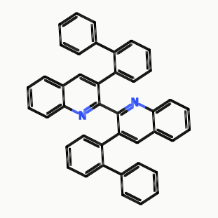 c1ccc(-c2ccccc2-c2cc3ccccc3nc2-c2nc3ccccc3cc2-c2ccccc2-c2ccccc2)cc1